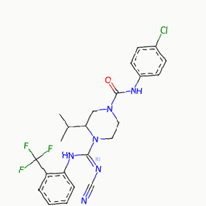 CC(C)C1CN(C(=O)Nc2ccc(Cl)cc2)CCN1/C(=N/C#N)Nc1ccccc1C(F)(F)F